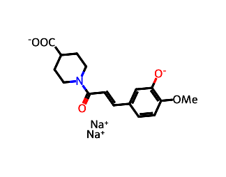 COc1ccc(C=CC(=O)N2CCC(C(=O)[O-])CC2)cc1[O-].[Na+].[Na+]